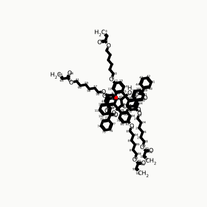 C=CC(=O)OCCCCCCOc1ccc(C(O)(c2ccc(OCCCCCCOC(=O)C=C)cc2OC(=O)c2ccccc2)[C@H](O)[C@@H](O)C(O)(c2ccc(OCCCCCCOC(=O)C=C)cc2OC(=O)c2ccccc2)c2ccc(OCCCCCCOC(=O)C=C)cc2OC(=O)c2ccccc2)c(OC(=O)c2ccccc2)c1